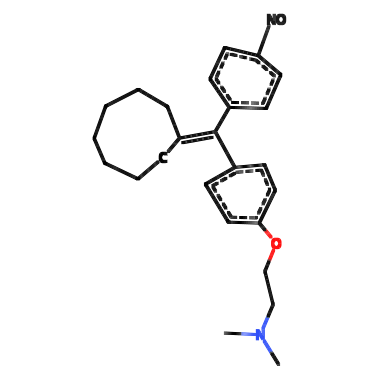 CN(C)CCOc1ccc(C(=C2CCCCCCC2)c2ccc(N=O)cc2)cc1